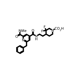 CNC(=O)c1cc(C(=O)NCCC2CCN(C(=O)O)CC2(F)F)cc(Cc2ccccc2)n1